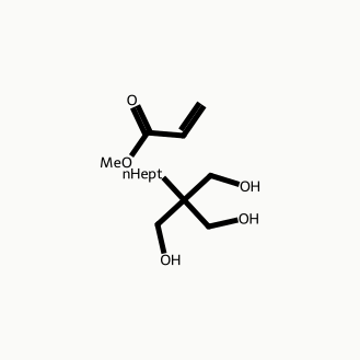 C=CC(=O)OC.CCCCCCCC(CO)(CO)CO